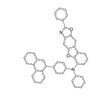 c1ccc(-c2nc3cc4oc5c(N(c6ccccc6)c6ccc(-c7cc8ccccc8c8ccccc78)cc6)cccc5c4cc3o2)cc1